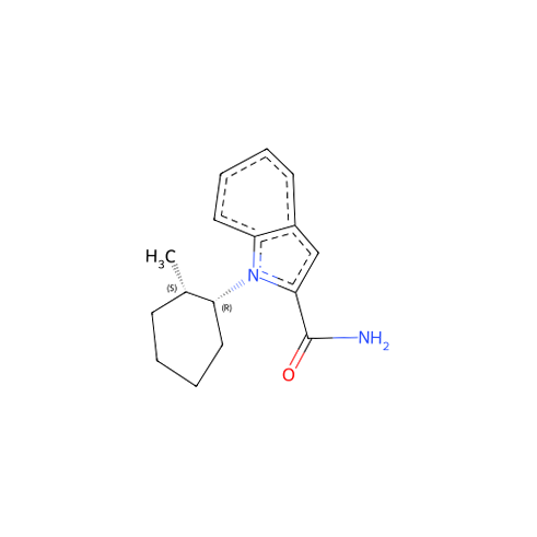 C[C@H]1CCCC[C@H]1n1c(C(N)=O)cc2ccccc21